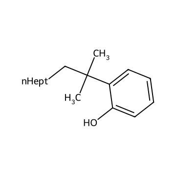 CCCCCCCCC(C)(C)c1ccccc1O